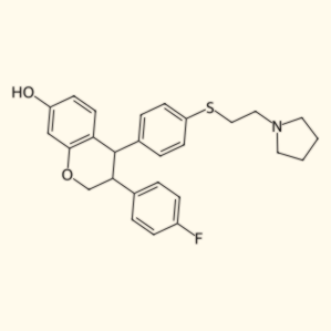 Oc1ccc2c(c1)OCC(c1ccc(F)cc1)C2c1ccc(SCCN2CCCC2)cc1